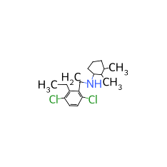 C=C(NC1CCCC(C)C1C)c1c(Cl)ccc(Cl)c1CC